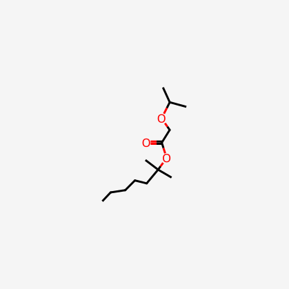 CCCCCC(C)(C)OC(=O)COC(C)C